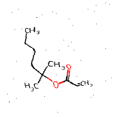 C=CC(=O)OC(C)(C)CCCC